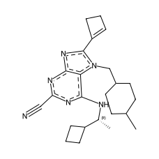 CC1CCC(Cn2c(C3=CCC3)nc3nc(C#N)nc(N[C@H](C)C4CCC4)c32)CC1